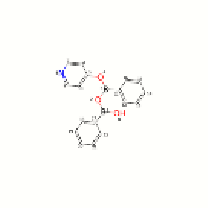 OB(OB(Oc1ccncc1)c1ccccc1)c1ccccc1